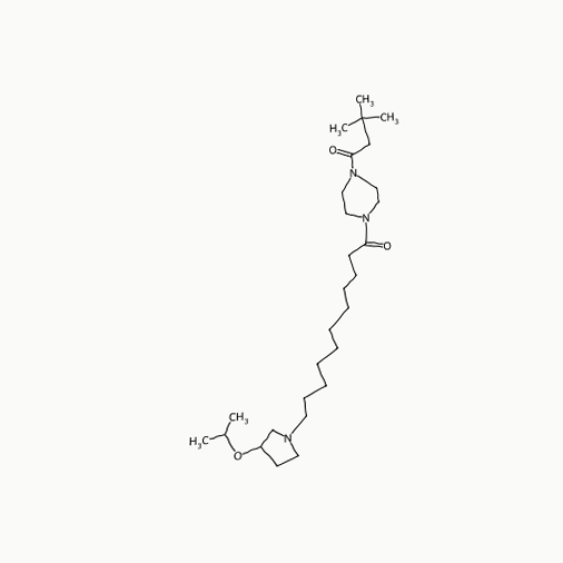 CC(C)OC1CCN(CCCCCCCCCCC(=O)N2CCN(C(=O)CC(C)(C)C)CC2)C1